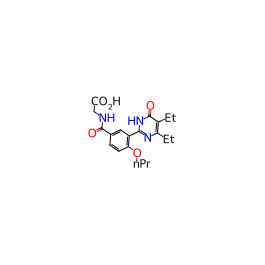 CCCOc1ccc(C(=O)NCC(=O)O)cc1-c1nc(CC)c(CC)c(=O)[nH]1